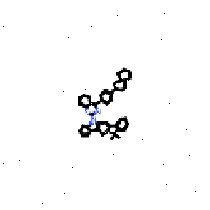 CC1(C)c2ccccc2-c2cc3c(cc21)c1ccccc1n3-c1nc(-c2ccc(-c3ccc4ccccc4c3)cc2)c2ccccc2n1